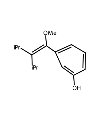 COC(=C(C(C)C)C(C)C)c1cccc(O)c1